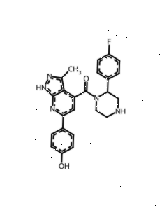 Cc1n[nH]c2nc(-c3ccc(O)cc3)cc(C(=O)N3CCNCC3c3ccc(F)cc3)c12